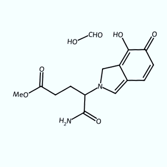 COC(=O)CCC(C(N)=O)N1C=C2C=CC(=O)C(O)=C2C1.O=CO